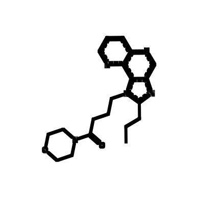 CCCc1nc2cnc3cccnc3c2n1CCCC(=O)N1CCOCC1